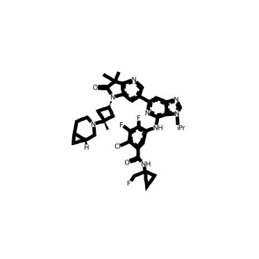 CC(C)n1cnc2cc(-c3cnc4c(c3)N([C@H]3C[C@@](C)(N5CCC6C[C@H]6C5)C3)C(=O)C4(C)C)nc(Nc3cc(C(=O)NC4(CF)CC4)c(Cl)c(F)c3F)c21